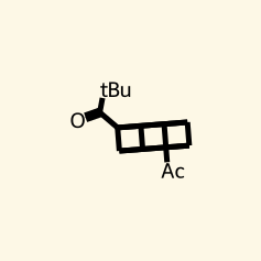 CC(=O)C12C3C4C1C1C2C3C41C(=O)C(C)(C)C